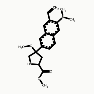 C=Cc1cc2cc(C3(OC)CNC(C(=O)OC)C3)ccc2cc1N(C)C